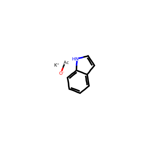 CC(=O)[O-].[K+].c1ccc2[nH]ccc2c1